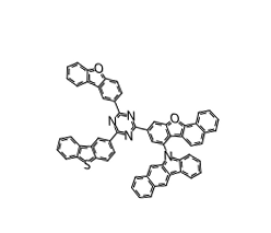 c1ccc2cc3c(cc2c1)c1ccccc1n3-c1cc(-c2nc(-c3ccc4oc5ccccc5c4c3)nc(-c3ccc4sc5ccccc5c4c3)n2)cc2oc3c4ccccc4ccc3c12